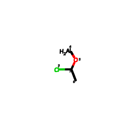 CC(Cl)[O][AlH2]